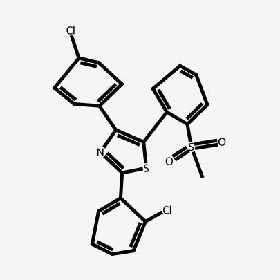 CS(=O)(=O)c1ccccc1-c1sc(-c2ccccc2Cl)nc1-c1ccc(Cl)cc1